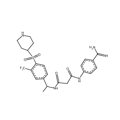 CC(NC(=O)CC(=O)Nc1ccc(C(=N)N)cc1)c1ccc(S(=O)(=O)C2CCNCC2)c(C(F)(F)F)c1